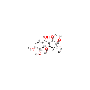 COc1ccc(C(O)c2ccc(OC)c(OC)c2OC)c(OC)c1OC